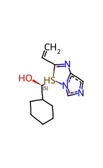 C=CC1=Nc2cncn2[SH]1[C@H](O)C1CCCCC1